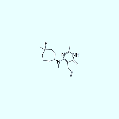 C=CCC1=C(N(C)C2CCCC(C)(F)CC2)N=C(C)NC1=C